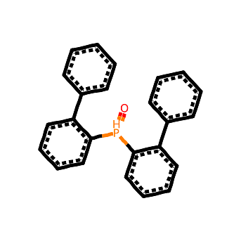 O=[PH](c1ccccc1-c1ccccc1)c1ccccc1-c1ccccc1